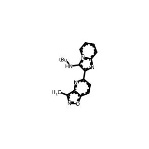 Cc1noc2ccc(-c3nc4ccccn4c3NC(C)(C)C)nc12